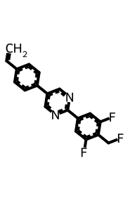 C=Cc1ccc(-c2cnc(-c3cc(F)c(CF)c(F)c3)nc2)cc1